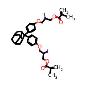 C=C(C)C(=O)OCC(I)COc1ccc(C2(c3ccc(OCC(I)COC(=O)C(=C)C)cc3)C3CC4CC(C3)CC2C4)cc1